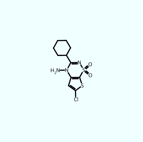 NN1C(C2CCCCC2)=NS(=O)(=O)c2sc(Cl)cc21